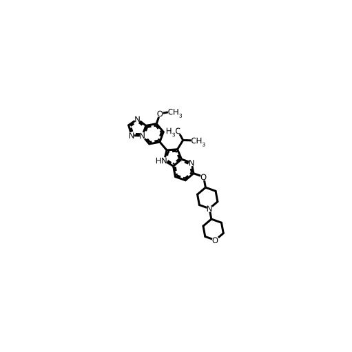 COc1cc(-c2[nH]c3ccc(OC4CCN(C5CCOCC5)CC4)nc3c2C(C)C)cn2ncnc12